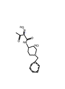 CC(=O)/C(=N\O)C(=O)NC1CCN(Cc2ccccc2)CC1.Cl